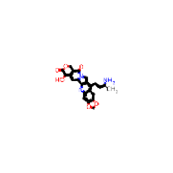 C[C@@H](N)CCc1c2c(nc3cc4c(cc13)OCO4)-c1cc3c(c(=O)n1C2)COC(=O)C3O